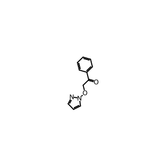 O=C(COn1cccn1)c1ccccc1